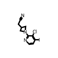 N#CCC1CN(c2nccc(I)c2Cl)C1